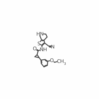 CCOc1cccc(C2CC2C(=O)Nc2sc3c(c2C#N)CCNC3)c1